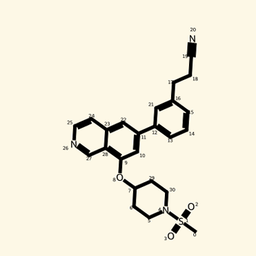 CS(=O)(=O)N1CCC(Oc2cc(-c3cccc(CCC#N)c3)cc3ccncc23)CC1